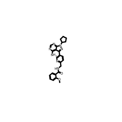 COc1ccccc1C(=O)NCc1ccc(-c2nn(C3CCCC3)c3ncnc(N)c23)cn1